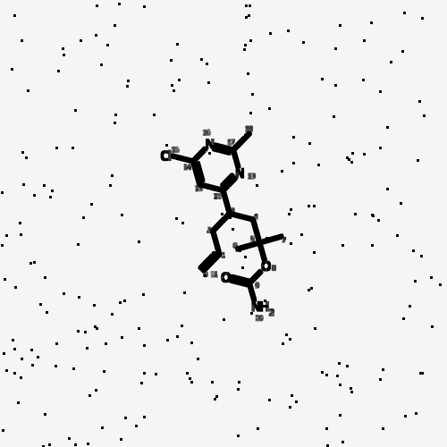 C=CCC(CC(C)(C)OC(N)=O)c1cc(Cl)nc(C)n1